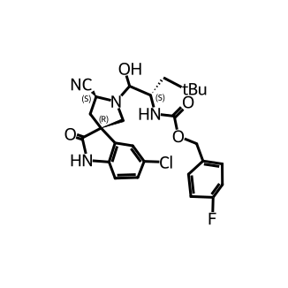 CC(C)(C)C[C@H](NC(=O)OCc1ccc(F)cc1)C(O)N1C[C@]2(C[C@H]1C#N)C(=O)Nc1ccc(Cl)cc12